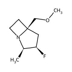 COC[C@]12CCN1[C@H](C)[C@H](F)C2